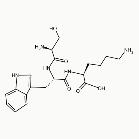 NCCCC[C@H](NC(=O)[C@H](Cc1c[nH]c2ccccc12)NC(=O)[C@@H](N)CO)C(=O)O